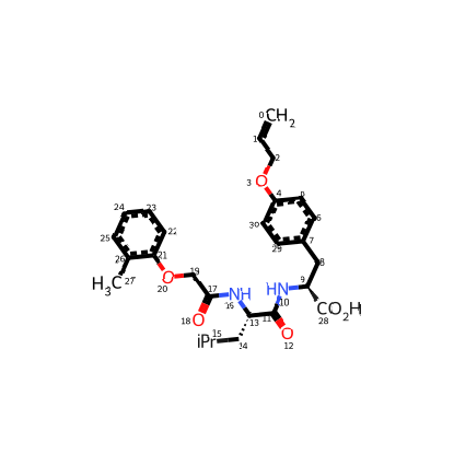 C=CCOc1ccc(C[C@H](NC(=O)[C@H](CC(C)C)NC(=O)COc2ccccc2C)C(=O)O)cc1